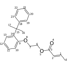 CC=CC(=O)OCCOc1ccccc1C(C)(C)c1ccccc1